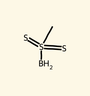 BS(C)(=S)=S